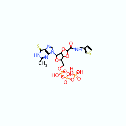 Cc1nc2c(ncn2C2OC(COP(=O)(O)OP(=O)(O)OP(=O)(O)O)C3OC(C(=O)NCc4ccsc4)OC32)c(=S)[nH]1